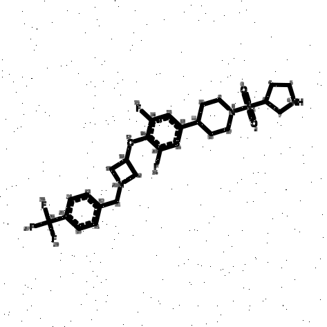 O=S(=O)(C1CCNC1)N1CCC(c2cc(F)c(OC3CN(Cc4ccc(C(F)(F)F)cc4)C3)c(F)c2)CC1